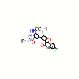 CNC(=O)c1c(-c2ccc(F)cc2)oc2ccc(-c3cc(NC(=O)O)cc(C(=O)NCC(C)C)c3)cc12